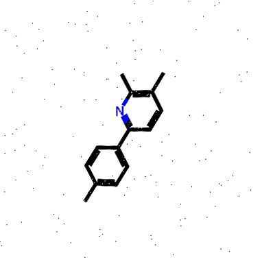 Cc1ccc(-c2ccc(C)c(C)n2)cc1